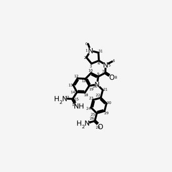 CN1CCC(N(C)C(=O)c2cc3ccc(C(=N)N)cc3n2Cc2ccc(C(N)=O)cc2)C1